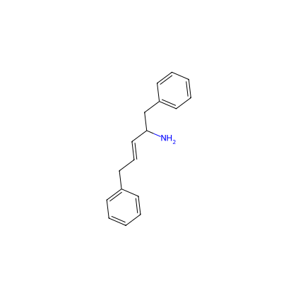 NC(C=CCc1ccccc1)Cc1ccccc1